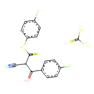 N#CC(C(=O)c1ccc(F)cc1)C(=S)Sc1ccc(F)cc1.S=C(S)S